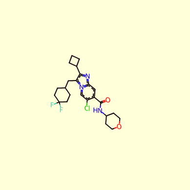 O=C(NC1CCOCC1)c1cc2nc(C3CCC3)c(CC3CCC(F)(F)CC3)n2cc1Cl